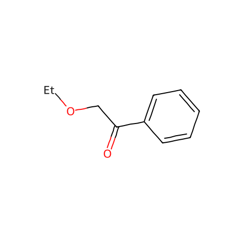 CCOCC(=O)c1ccccc1